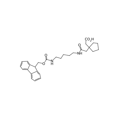 O=C(O)CC1(CC(=O)NCCCCCNC(=O)OCC2c3ccccc3-c3ccccc32)CCCC1